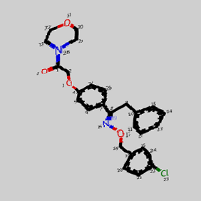 O=C(COc1ccc(/C(Cc2ccccc2)=N/OCc2ccc(Cl)cc2)cc1)N1CCOCC1